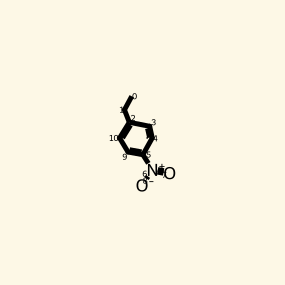 CCc1c[c]c([N+](=O)[O-])cc1